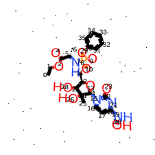 CCOC(=O)[C@H](C)NP(=O)(OC[C@H]1O[C@@H](n2ccc(NO)nc2=O)C(C)(O)C1O)Oc1ccccc1